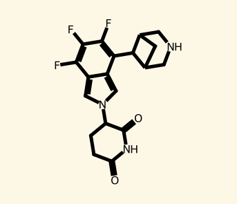 O=C1CCC(n2cc3c(F)c(F)c(F)c(C4C5CNCC4C5)c3c2)C(=O)N1